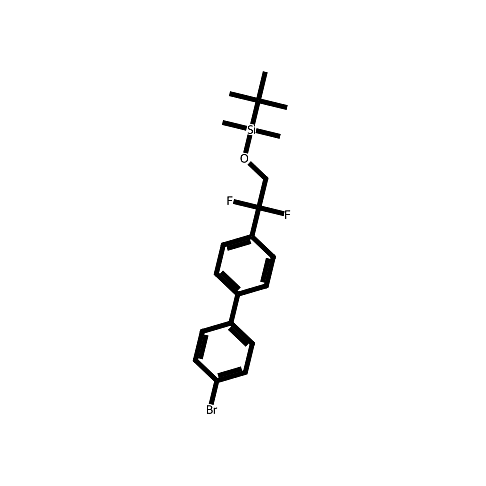 CC(C)(C)[Si](C)(C)OCC(F)(F)c1ccc(-c2ccc(Br)cc2)cc1